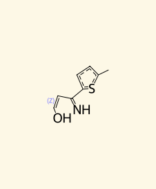 Cc1ccc(C(=N)/C=C\O)s1